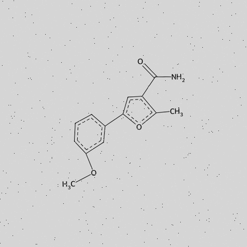 COc1cccc(-c2cc(C(N)=O)c(C)o2)c1